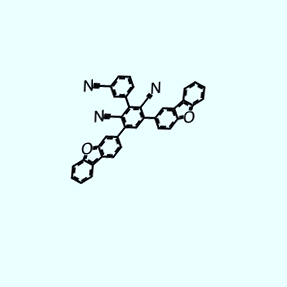 N#Cc1cccc(-c2c(C#N)c(-c3ccc4c(c3)oc3ccccc34)cc(-c3ccc4oc5ccccc5c4c3)c2C#N)c1